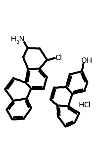 Cl.NC1Cc2c(ccc3c2ccc2ccccc23)C(Cl)C1.Oc1ccc2c(ccc3ccccc32)c1